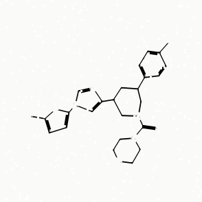 CCc1ccc(C2CC(c3cn(-c4ccc(Cl)s4)cn3)CN(C(=O)N3CCOCC3)C2)cc1